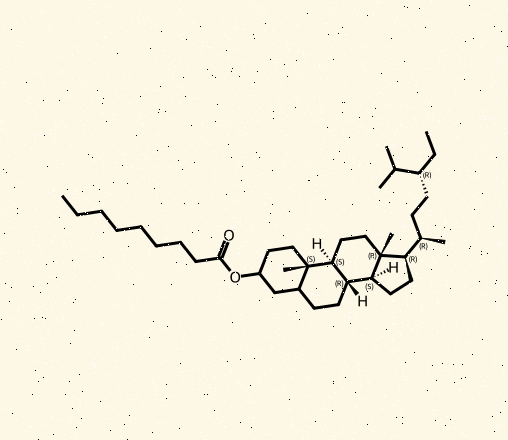 CCCCCCCCC(=O)OC1CC[C@@]2(C)C(CC[C@H]3[C@@H]4CC[C@H]([C@H](C)CC[C@@H](CC)C(C)C)[C@@]4(C)CC[C@@H]32)C1